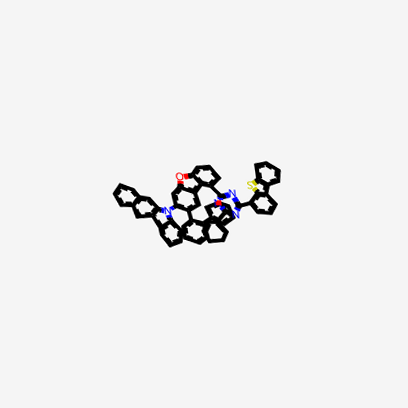 C1=CC(c2nc(-c3cccc4c3sc3ccccc34)nc(-c3cccc4oc5cc(-n6c7ccccc7c7cc8ccccc8cc76)c(-c6ccccc6-c6ccccc6)cc5c34)n2)=CCC1